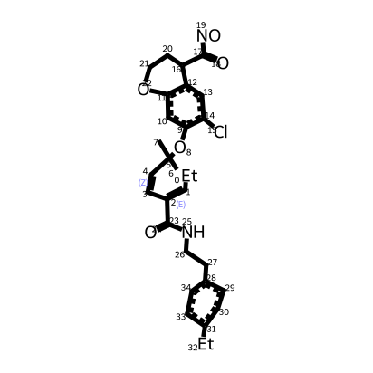 CC/C=C(\C=C/C(C)(C)Oc1cc2c(cc1Cl)C(C(=O)N=O)CCO2)C(=O)NCCc1ccc(CC)cc1